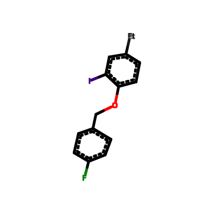 CCc1ccc(OCc2ccc(F)cc2)c(I)c1